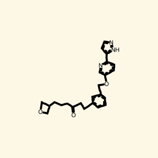 O=C(CCCC1COC1)CCc1cccc(COc2ccc(-c3ccn[nH]3)nc2)c1